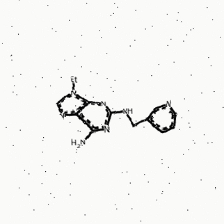 [CH2]Cn1cnc2c(N)nc(NCc3cccnc3)nc21